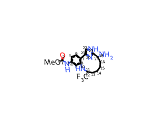 COC(=O)Nc1ccc2c(c1)N[C@H](C(F)(F)F)CCCC[C@H](N)c1nc-2c[nH]1